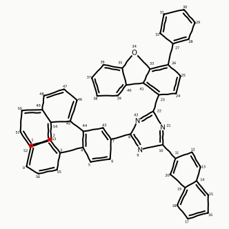 c1ccc(-c2ccc(-c3nc(-c4ccc5ccccc5c4)nc(-c4ccc(-c5ccccc5)c5oc6ccccc6c45)n3)cc2-c2cccc3ccccc23)cc1